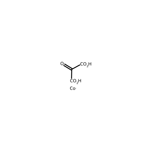 O=C(O)C(=O)C(=O)O.[Co]